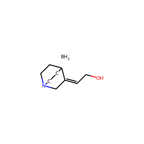 B.OCC=C1CN2CCC1CC2